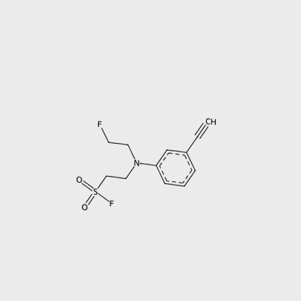 C#Cc1cccc(N(CCF)CCS(=O)(=O)F)c1